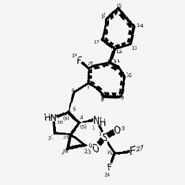 O=S(=O)(N[C@@H]1[C@H](Cc2cccc(-c3ccccc3)c2F)NCC12CC2)C(F)F